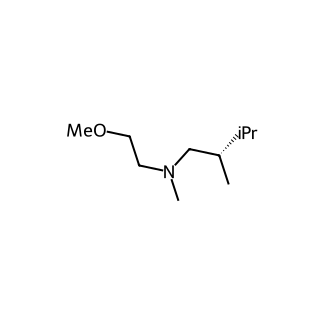 COCCN(C)C[C@@H](C)C(C)C